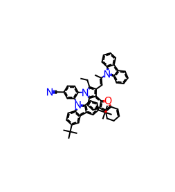 CCc1c(/C=C(\C)n2c3ccccc3c3ccccc32)c2c3oc4c(c3ccc2n1-c1ccc(C#N)cc1-n1c2ccc(C(C)(C)C)cc2c2cc(C(C)(C)C)ccc21)CCC=C4